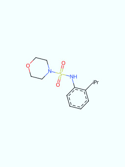 CC(C)c1ccccc1NS(=O)(=O)N1CCOCC1